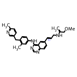 C=C(COC)NC/C=C/c1ccc2ncnc(Nc3ccc(Cc4ccc(C)nc4)c(C)c3)c2c1